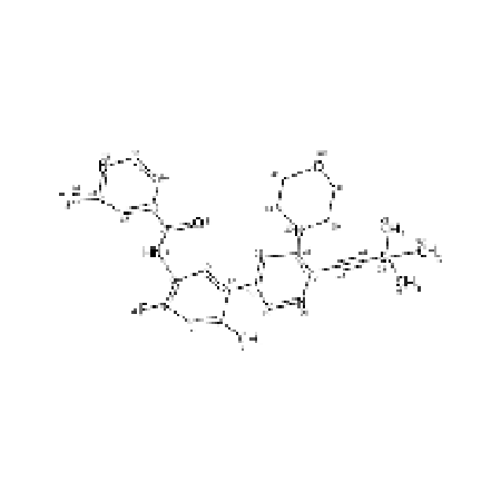 Cc1cc(F)c(NC(=O)c2ccnc(C(F)(F)F)c2)cc1-c1cnc(C#C[Si](C)(C)C)c(N2CCOCC2)c1